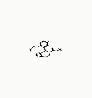 CC(C)(C)CC(=O)N1CCc2ncsc2C1c1cc(Cl)ccc1OCC(=O)O